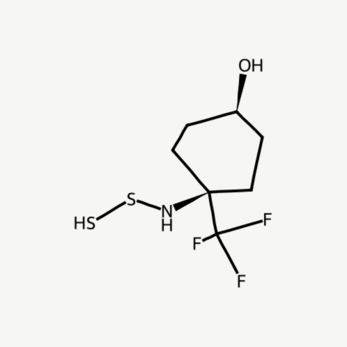 O[C@H]1CC[C@](NSS)(C(F)(F)F)CC1